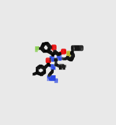 Cc1ccc(C(=O)N(CCN)C(c2nc3c(oc4ccc(F)cc43)c(=O)n2Cc2ccc(C=O)s2)C(C)C)cc1